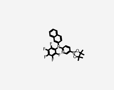 CC1(C)OB(c2ccc(N(c3ccc4ccccc4c3)c3c(F)c(F)c(F)c(F)c3F)nc2)OC1(C)C